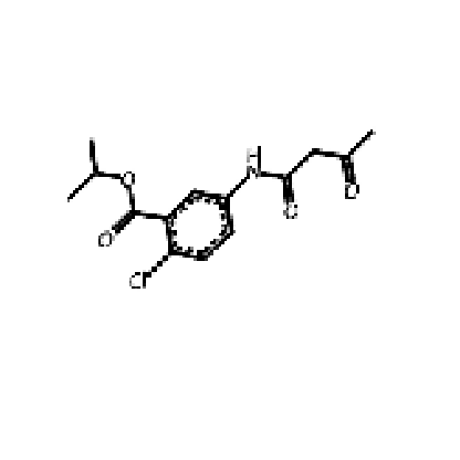 CC(=O)CC(=O)Nc1ccc(Cl)c(C(=O)OC(C)C)c1